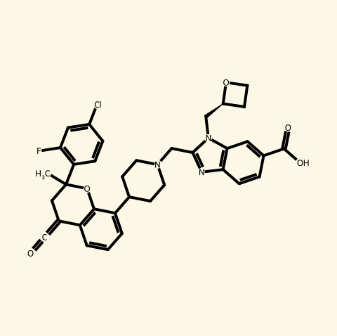 CC1(c2ccc(Cl)cc2F)CC(=C=O)c2cccc(C3CCN(Cc4nc5ccc(C(=O)O)cc5n4C[C@@H]4CCO4)CC3)c2O1